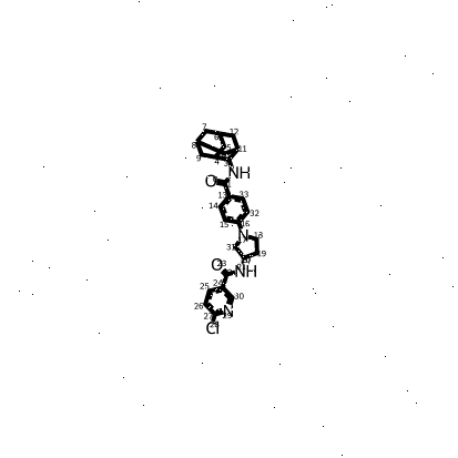 O=C(NC1C2CC3CC(C2)CC1C3)c1ccc(N2CC[C@H](NC(=O)c3ccc(Cl)nc3)C2)cc1